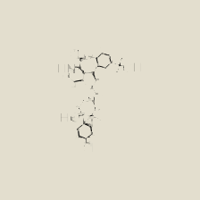 CC(C)(O)c1ccc2c(c1)C(=CCCN1CCC(O)(c3ccc(Cl)cc3)C(C)(C)C1)C1=C(NCC=C1)C(=O)O2